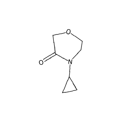 O=C1COCCN1C1CC1